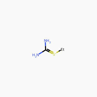 CC[S+]=C(N)N